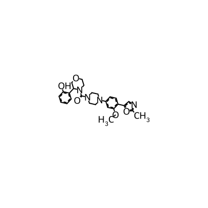 COc1cc(N2CCN(C(=O)N3CCOCC3c3ccccc3O)CC2)ccc1-c1cnc(C)o1